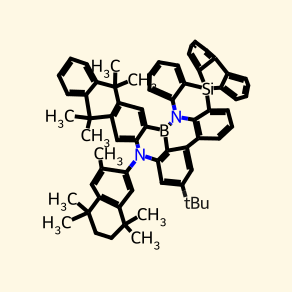 Cc1cc2c(cc1N1c3cc4c(cc3B3c5c(cc(C(C)(C)C)cc51)-c1cccc5c1N3c1ccccc1[Si]51c3ccccc3-c3ccccc31)C(C)(C)c1ccccc1C4(C)C)C(C)(C)CCC2(C)C